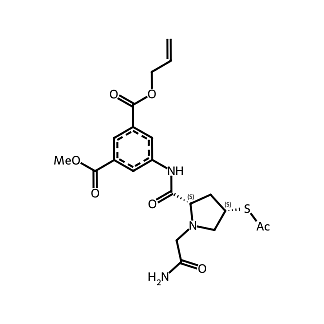 C=CCOC(=O)c1cc(NC(=O)[C@@H]2C[C@H](SC(C)=O)CN2CC(N)=O)cc(C(=O)OC)c1